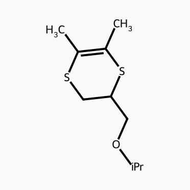 CC1=C(C)SC(COC(C)C)CS1